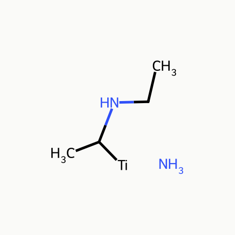 CCN[CH](C)[Ti].N